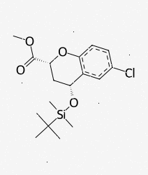 COC(=O)[C@H]1C[C@@H](O[Si](C)(C)C(C)(C)C)c2cc(Cl)ccc2O1